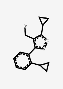 BrCc1c(-c2ccccc2C2CC2)noc1C1CC1